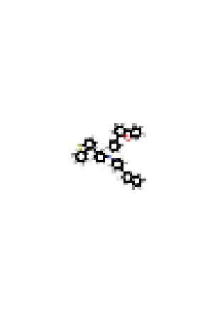 c1cc(-c2cccc3sc4ccccc4c23)cc(N(c2ccc(-c3ccc4ccccc4c3)cc2)c2ccc(-c3cccc4c3oc3ccccc34)cc2)c1